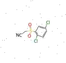 N#CCS(=O)(=O)c1cc(Cl)ccc1Cl